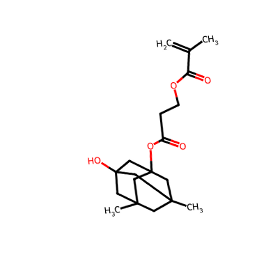 C=C(C)C(=O)OCCC(=O)OC12CC3(C)CC(C)(CC(O)(C3)C1)C2